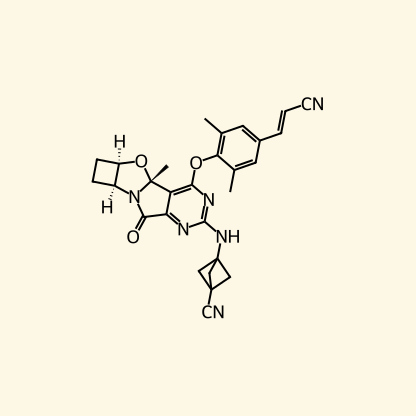 Cc1cc(/C=C/C#N)cc(C)c1Oc1nc(NC23CC(C#N)(C2)C3)nc2c1[C@@]1(C)O[C@@H]3CC[C@@H]3N1C2=O